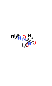 C/C=N\C(=C/CC(=O)Nc1ccc(C)c(-c2cc(OC)nc(C3CCOCC3)c2)c1)CC